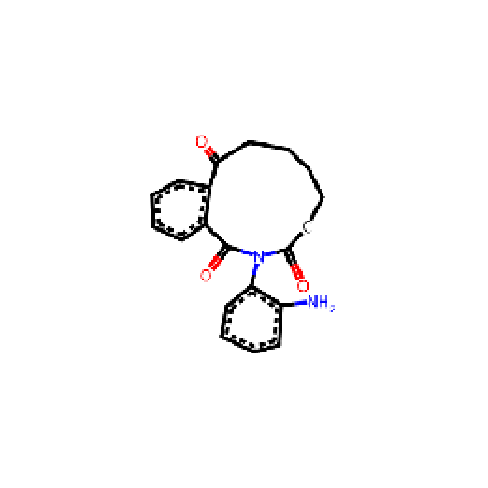 Nc1ccccc1N1C(=O)CCCCCC(=O)c2ccccc2C1=O